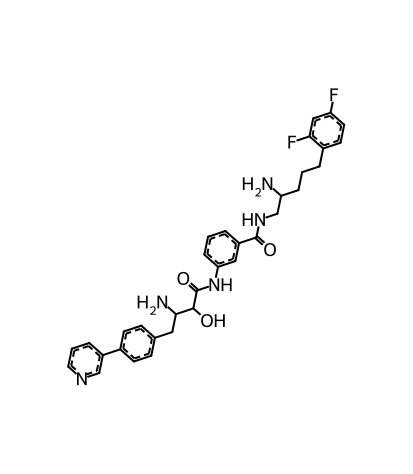 NC(CCCc1ccc(F)cc1F)CNC(=O)c1cccc(NC(=O)C(O)C(N)Cc2ccc(-c3cccnc3)cc2)c1